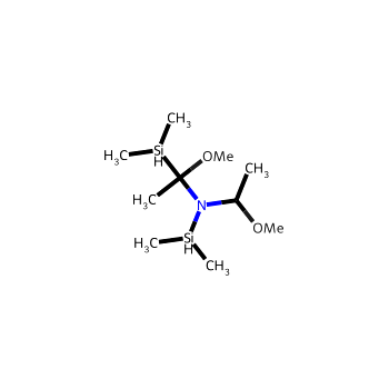 COC(C)N([SiH](C)C)C(C)(OC)[SiH](C)C